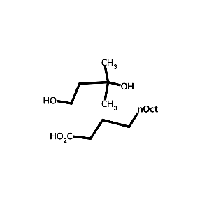 CC(C)(O)CCO.CCCCCCCCCCCC(=O)O